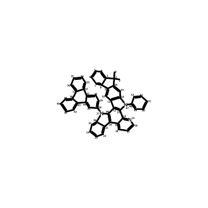 CC1(C)c2ccccc2-c2cc3c4c(c5ncccc5c5c6ccccc6n(-c6ccc7c8ccccc8c8ccccc8c7c6)c54)n(-c4ccccc4)c3cc21